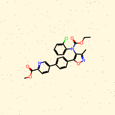 CCOC(=O)N(c1ccccc1Cl)c1c(C)noc1-c1ccc(-c2ccc(C(=O)OC)nc2)cc1